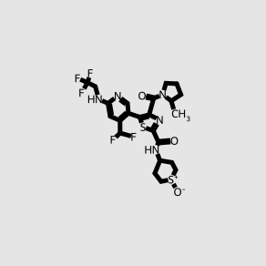 CC1CCCN1C(=O)c1nc(C(=O)NC2CC[S+]([O-])CC2)sc1-c1cnc(NCC(F)(F)F)cc1C(F)F